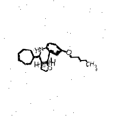 CCCCCOc1ccc2c(c1)[C@H]1OCC[C@H]1C(C1CCCCCC1)N2